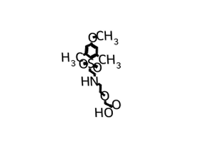 COc1cc(C)c(S(=O)(=O)CCNCCOCC(=O)O)c(C)c1